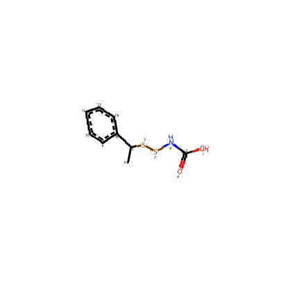 CC(SSNC(=O)O)c1ccccc1